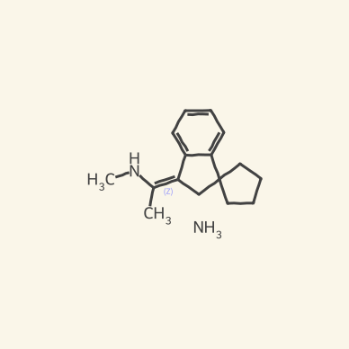 CN/C(C)=C1/CC2(CCCC2)c2ccccc21.N